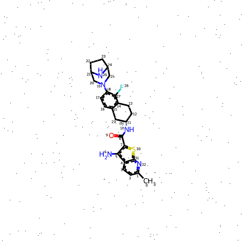 Cc1ccc2c(N)c(C(=O)N[C@H]3CCc4c(ccc(N5CC6CCC(C5)N6)c4F)C3)sc2n1